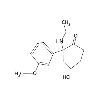 CCNC1(c2cccc(OC)c2)CCCCC1=O.Cl